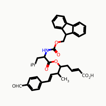 CC(C)CC(NC(=O)OCC1c2ccccc2-c2ccccc21)C(=O)OC(CC=CC(=O)O)C(C)C=Cc1ccc(C=O)cc1